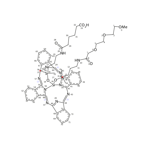 COCCOCCOCC(=O)NCCC[Si](C)(C)O[Si]1(O[Si](C)(C)CCCNC(=O)CCCCC(=O)O)n2c3c4ccccc4c2/N=C2N=C(/N=c4/c5ccccc5/c(n41)=N/C1=NC(=N\3)/c3ccccc31)c1ccccc1\2